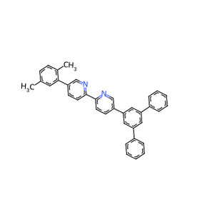 Cc1ccc(C)c(-c2ccc(-c3ccc(-c4cc(-c5ccccc5)cc(-c5ccccc5)c4)cn3)nc2)c1